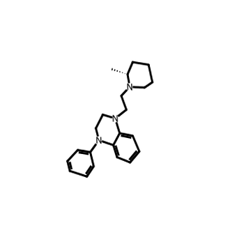 C[C@@H]1CCCCN1CCN1CCN(c2ccccc2)c2ccccc21